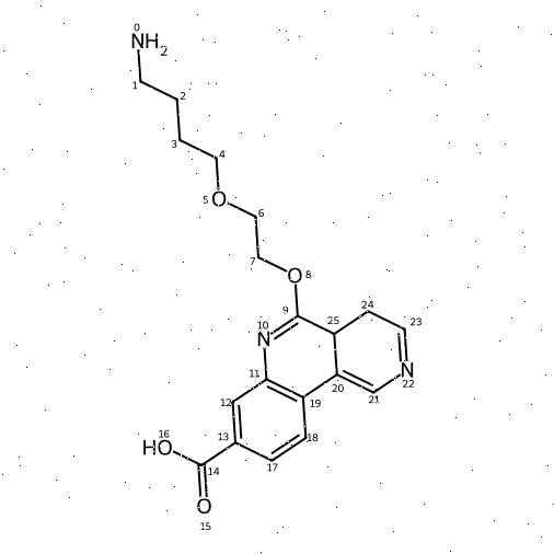 NCCCCOCCOC1=Nc2cc(C(=O)O)ccc2C2=CN=CCC21